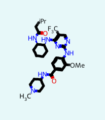 COc1cc(C(=O)NC2CCN(C)CC2)ccc1Nc1ncc(C(F)(F)F)c(N[C@@H]2CCCC[C@H]2NC(=O)CC(C)C)n1